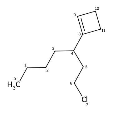 CCCCC(CCCl)C1=CCC1